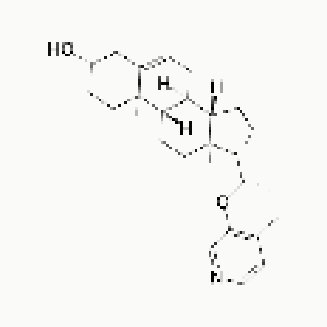 Cc1ccncc1O[C@@H](C)[C@H]1CC[C@H]2[C@@H]3CC=C4C[C@@H](O)CC[C@]4(C)[C@H]3CC[C@]12C